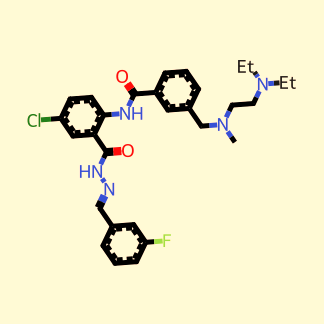 CCN(CC)CCN(C)Cc1cccc(C(=O)Nc2ccc(Cl)cc2C(=O)NN=Cc2cccc(F)c2)c1